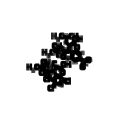 CC(C)C[C@@H](C(=O)O)N(C(=O)OC(C)(C)C)c1ccc([N+](=O)[O-])cc1.C[C@H](C(=O)O)N(C(=O)OC(C)(C)C)c1cc(Cl)cc(Cl)c1Cl